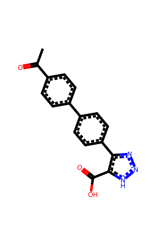 CC(=O)c1ccc(-c2ccc(-c3nn[nH]c3C(=O)O)cc2)cc1